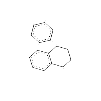 c1ccc2c(c1)CCCC2.c1ccccc1